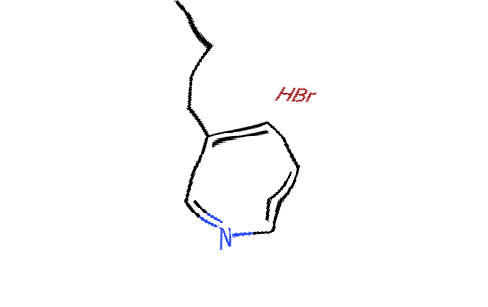 Br.CCCc1cccnc1